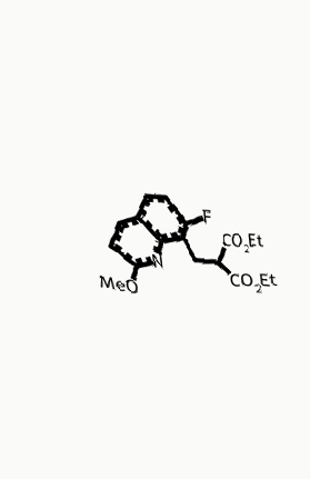 CCOC(=O)C(Cc1c(F)ccc2ccc(OC)nc12)C(=O)OCC